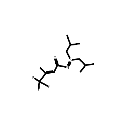 C/C(=C\C(=O)N=S(CC(C)C)CC(C)C)C(F)(F)F